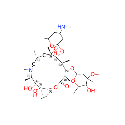 CC[C@H]1OC(=O)[C@H](C)[C@@H](OC2CC(C)(OC)C(O)C(C)O2)[C@H](C)[C@@H](OC2CC(NC)CC(C)O2)[C@@](C)(O)C[C@@H](C)CN(C)[C@H](C)[C@@H](O)[C@]1(C)O